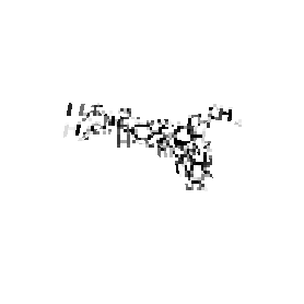 CCOc1cc2c(c(S(=O)(=O)c3ccc(NC(=O)N(CC)CC)cc3)c1)NC(=O)C2(N)c1ccccc1Cl